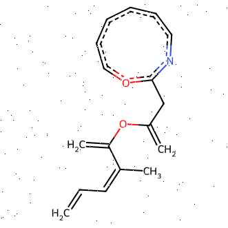 C=C/C=C(/C)C(=C)OC(=C)Cc1ncccccco1